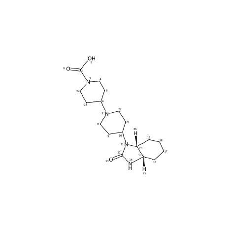 O=C(O)N1CCC(N2CCC(N3C(=O)N[C@H]4CCCC[C@H]43)CC2)CC1